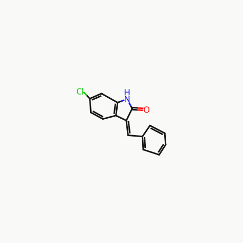 O=C1Nc2cc(Cl)ccc2C1=Cc1ccccc1